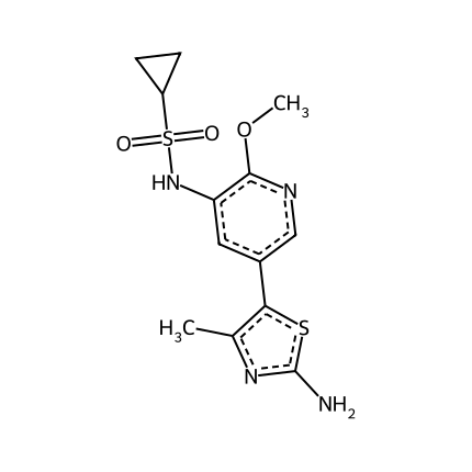 COc1ncc(-c2sc(N)nc2C)cc1NS(=O)(=O)C1CC1